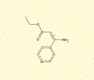 CCOC(=O)/C=C(/N)c1ccncc1